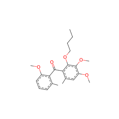 CCCCOc1c(OC)c(OC)cc(C)c1C(=O)c1c(C)cccc1OC